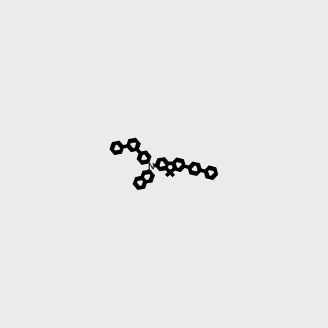 CC1(C)c2cc(-c3ccc(-c4ccccc4)cc3)ccc2-c2ccc(N(c3ccc(-c4cccc(-c5ccccc5)c4)cc3)c3ccc4ccccc4c3)cc21